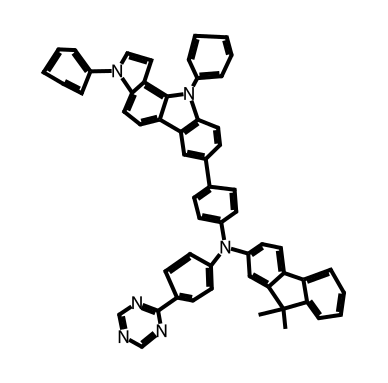 CC1(C)c2ccccc2-c2ccc(N(c3ccc(-c4ccc5c(c4)c4ccc6c(ccn6-c6ccccc6)c4n5-c4ccccc4)cc3)c3ccc(-c4ncncn4)cc3)cc21